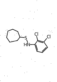 Clc1cccc(NSC2CCCCCC2)c1Cl